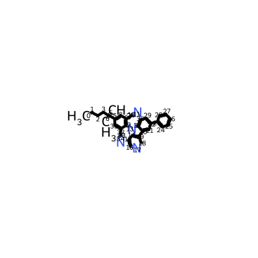 CCCCC(C)(C)c1cc(C#N)c(-n2c3ccncc3c3cc(-c4ccccc4)ccc32)c(C#N)c1